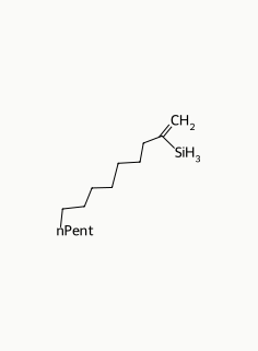 C=C([SiH3])CCCCCCCCCCCC